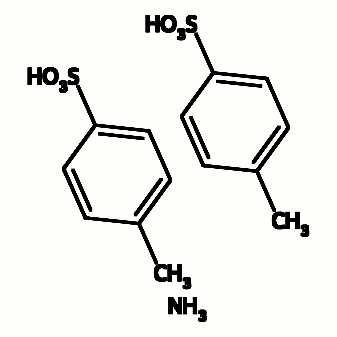 Cc1ccc(S(=O)(=O)O)cc1.Cc1ccc(S(=O)(=O)O)cc1.N